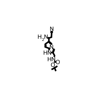 CC(C)(C)OC(=O)NCC1=CN2C=C(C(N)CC#N)C=CC2N1